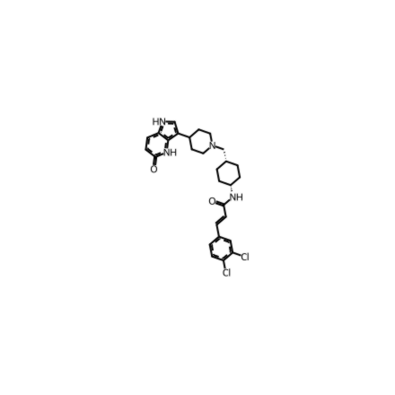 O=C(C=Cc1ccc(Cl)c(Cl)c1)N[C@H]1CC[C@@H](CN2CCC(c3c[nH]c4ccc(=O)[nH]c34)CC2)CC1